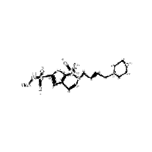 CC(C)(C)NS(=O)(=O)c1cc2c(s1)S(=O)(=O)N(CC=CCN1CCOCC1)C=C2